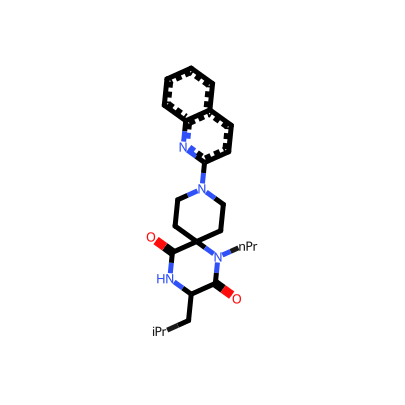 CCCN1C(=O)C(CC(C)C)NC(=O)C12CCN(c1ccc3ccccc3n1)CC2